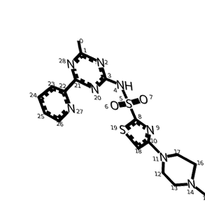 Cc1nc(NS(=O)(=O)c2nc(N3CCN(C)CC3)cs2)nc(-c2ccccn2)n1